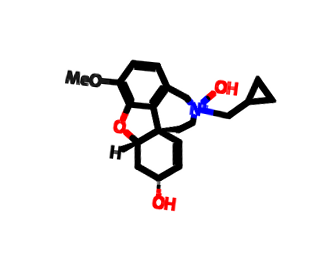 COc1ccc2c3c1O[C@H]1C[C@@H](O)C=C[C@@]31CC[N+](O)(CC1CC1)C2